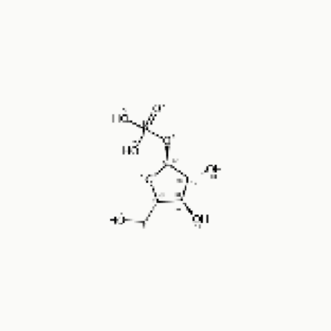 O=P(O)(O)O[C@@H]1O[C@@H](CO)[C@H](O)[C@H]1O